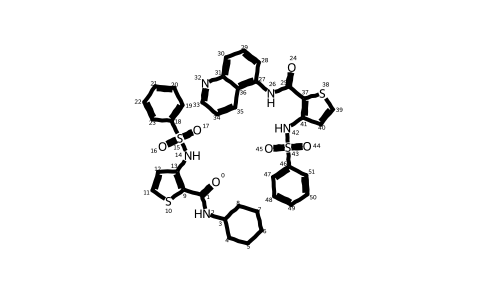 O=C(NC1CCCCC1)c1sccc1NS(=O)(=O)c1ccccc1.O=C(Nc1cccc2ncccc12)c1sccc1NS(=O)(=O)c1ccccc1